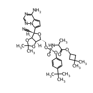 C[C@H](NP(=O)(OC[C@H]1O[C@@](C#N)(c2ccc3c(N)ncnn23)[C@@H]2OC(C)(C)O[C@@H]21)Oc1ccc(C(C)(C)C)cc1)C(=O)OC1CC(C)(C)C1